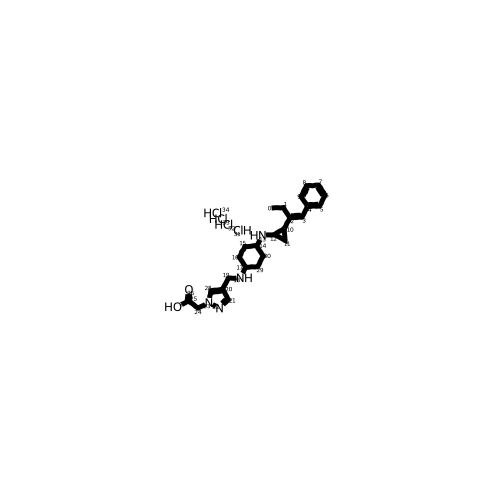 CC/C(=C\c1ccccc1)C1CC1NC1CCC(NCc2cnn(CC(=O)O)c2)CC1.Cl.Cl.Cl.Cl